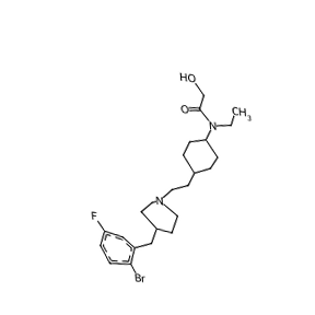 CCN(C(=O)CO)C1CCC(CCN2CCC(Cc3cc(F)ccc3Br)CC2)CC1